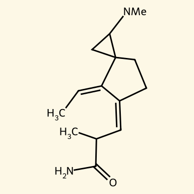 C/C=C1\C(=C/C(C)C(N)=O)CCC12CC2NC